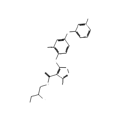 Cc1cc(Oc2cccc(C(F)(F)F)c2)ccc1Nc1snc(O)c1C(=N)NCC(O)CO